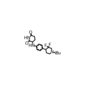 CCC(C)N1CCC(c2ccc(NC3CCC(=O)NC3=O)cc2)C(F)(F)C1